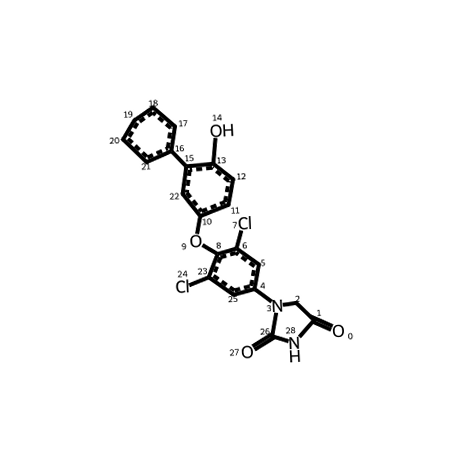 O=C1CN(c2cc(Cl)c(Oc3ccc(O)c(-c4ccccc4)c3)c(Cl)c2)C(=O)N1